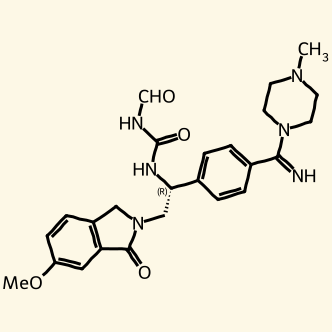 COc1ccc2c(c1)C(=O)N(C[C@H](NC(=O)NC=O)c1ccc(C(=N)N3CCN(C)CC3)cc1)C2